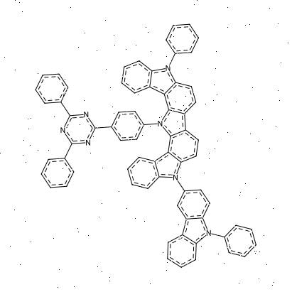 c1ccc(-c2nc(-c3ccccc3)nc(-c3ccc(-n4c5c(ccc6c5c5ccccc5n6-c5ccccc5)c5ccc6c(c7ccccc7n6-c6ccc7c(c6)c6ccccc6n7-c6ccccc6)c54)cc3)n2)cc1